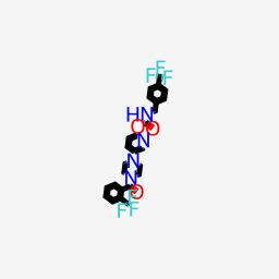 O=C(NCc1ccc(C(F)(F)F)cc1)Oc1ccc(N2CCN(C(=O)c3ccccc3C(F)(F)F)CC2)cn1